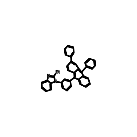 CCc1nc2ccccc2n1-c1cccc(-c2c3ccccc3c(-c3ccccc3)c3cc(-c4ccccc4)ccc23)c1